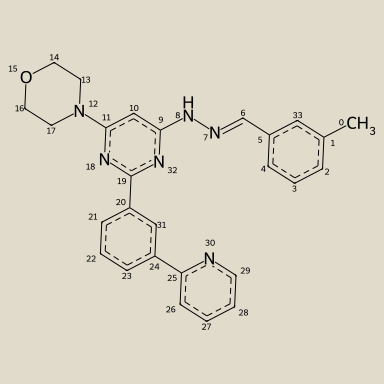 Cc1cccc(/C=N/Nc2cc(N3CCOCC3)nc(-c3cccc(-c4ccccn4)c3)n2)c1